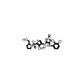 O=S(=O)(c1scc(Nc2n[s+]([O-])nc2Nc2cccc(Cl)c2Cl)c1O)N1CCCC1CO